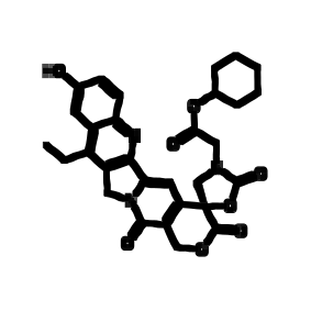 CCc1c2c(nc3ccc(O)cc13)-c1cc3c(c(=O)n1C2)COC(=O)[C@]31CN(CC(=O)OC2CCCCC2)C(=O)O1